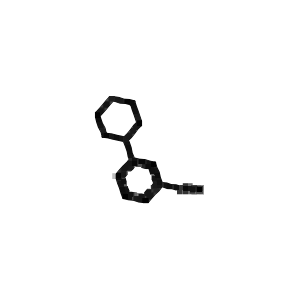 CCCCCCc1cc[c]c(C2CCCCC2)c1